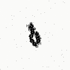 CN1CC[C@H](Oc2cc3cc(Nc4nc(N5CCC(CN6CCN(c7ccc8c(c7)C(=O)N(C7CCC(=O)NC7=O)C8=O)CC6)CC5)ncc4Cl)ccc3n(C)c2=O)C1=O